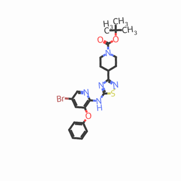 CC(C)(C)OC(=O)N1CCC(c2nsc(Nc3ncc(Br)cc3Oc3ccccc3)n2)CC1